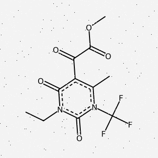 CCn1c(=O)c(C(=O)C(=O)OC)c(C)n(C(F)(F)F)c1=O